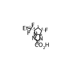 CCC(F)(F)[C@@H]1C[C@H](F)c2nc(C(=O)O)nn21